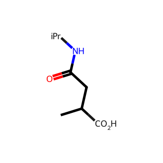 CC(C)NC(=O)CC(C)C(=O)O